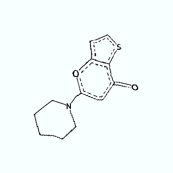 O=c1cc(N2CCCCC2)oc2ccsc12